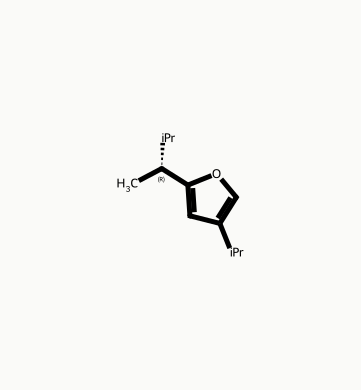 CC(C)c1coc([C@H](C)C(C)C)c1